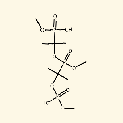 COP(=O)(O)OC(C)(C)P(=O)(OC)OC(C)(C)P(=O)(O)OC